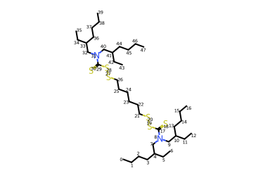 CCCCC(CC)CN(CC(CC)CCCC)C(=S)SSCCCCCCSSC(=S)N(CC(CC)CCCC)CC(CC)CCCC